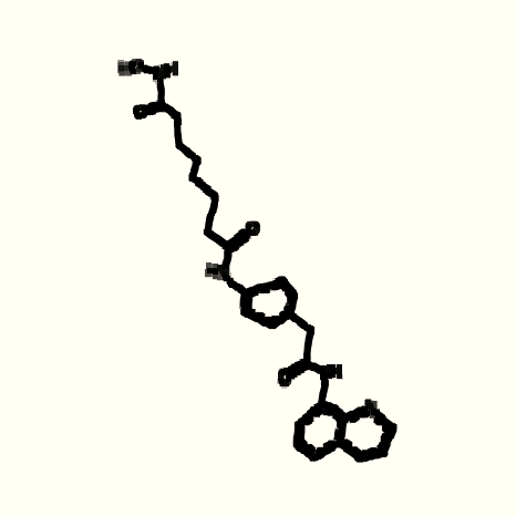 O=C(CCCCCCC(=O)Nc1ccc(CC(=O)Nc2cccc3cccnc23)cc1)NO